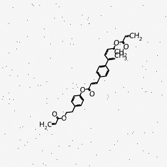 C=CC(=O)OCCc1ccc(OC(=O)/C=C/c2ccc(C(/C=C\C(=C)OC(=O)C=C)=C/C)cc2)cc1